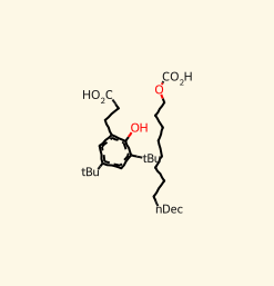 CC(C)(C)c1cc(CCC(=O)O)c(O)c(C(C)(C)C)c1.CCCCCCCCCCCCCCCCCCOC(=O)O